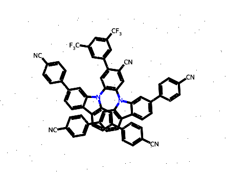 N#Cc1ccc(-c2ccc3c4ccc(-c5ccc(C#N)cc5)cc4n(-c4cc(C#N)c(-c5cc(C(F)(F)F)cc(C(F)(F)F)c5)cc4-n4c5cc(-c6ccc(C#N)cc6)ccc5c5ccc(-c6ccc(C#N)cc6)cc54)c3c2)cc1